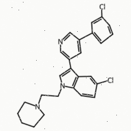 Clc1cccc(-c2cncc(-c3cn(CCN4CCCCC4)c4ccc(Cl)cc34)c2)c1